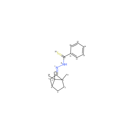 CC12CCC(CC1=NNC(=S)c1ccccc1)C2(C)C